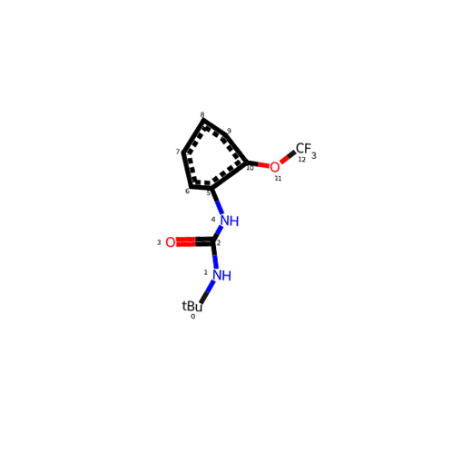 CC(C)(C)NC(=O)Nc1ccccc1OC(F)(F)F